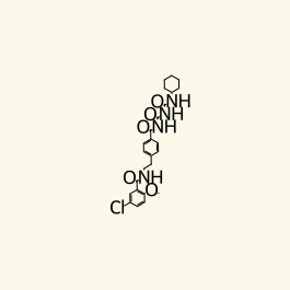 COc1ccc(Cl)cc1C(=O)NCCc1ccc(C(=O)NC(=O)NC(=O)NC2CCCCC2)cc1